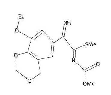 CCOc1cc(C(=N)C(=NC(=O)OC)SC)cc2c1OCOC2